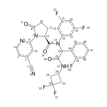 N#Cc1ccnc(N2C(=O)CC[C@H]2C(=O)N(c2cc(F)cc(F)c2)C(C(=O)NC2CC(F)(F)C2)c2ccccc2F)c1